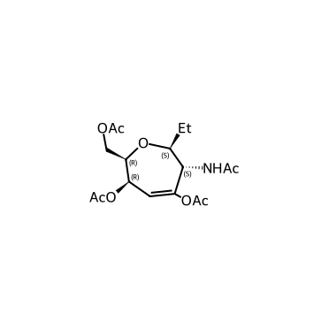 CC[C@@H]1O[C@H](COC(C)=O)[C@H](OC(C)=O)C=C(OC(C)=O)[C@H]1NC(C)=O